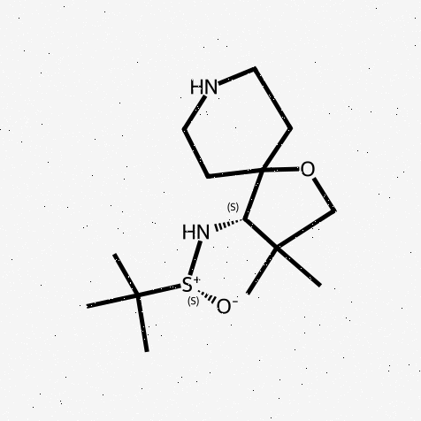 CC1(C)COC2(CCNCC2)[C@H]1N[S@+]([O-])C(C)(C)C